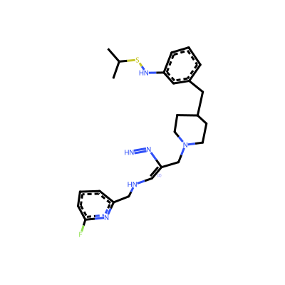 CC(C)SNc1cccc(CC2CCN(C/C(=C/NCc3cccc(F)n3)N=N)CC2)c1